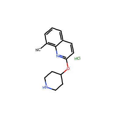 Cl.N#Cc1cccc2ccc(OC3CCNCC3)nc12